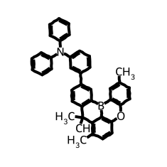 Cc1ccc2c(c1)B1c3cc(-c4cccc(N(c5ccccc5)c5ccccc5)c4)ccc3C(C)(C)c3c(C)ccc(c31)O2